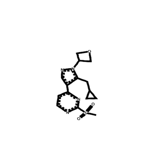 CS(=O)(=O)c1nccc(-c2cnn(C3COC3)c2CC2CC2)n1